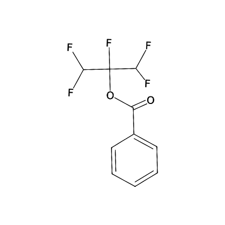 O=C(OC(F)(C(F)F)C(F)F)c1ccccc1